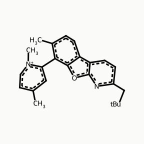 Cc1cc[n+](C)c(-c2c(C)ccc3c2oc2nc(CC(C)(C)C)ccc23)c1